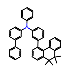 CC1(C)c2ccccc2-c2c(-c3cccc(N(c4ccccc4)c4cccc(-c5ccccc5)c4)c3)cccc2C1(C)C